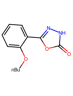 CCCCOc1ccccc1-c1n[nH]c(=O)o1